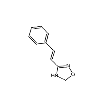 C(=C\c1ccccc1)/C1=NOCN1